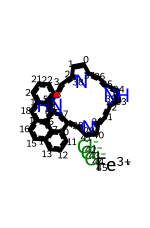 C1=Cc2cc3ccc([nH]3)c(-c3cccc4ccc5cc6ccccc6cc5c34)c3nc(cc4ccc(cc1n2)[nH]4)C=C3.[Cl-].[Cl-].[Cl-].[Fe+3]